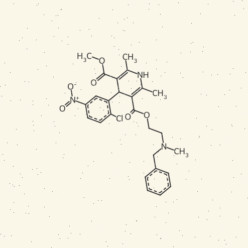 COC(=O)C1=C(C)NC(C)=C(C(=O)OCCN(C)Cc2ccccc2)C1c1cc([N+](=O)[O-])ccc1Cl